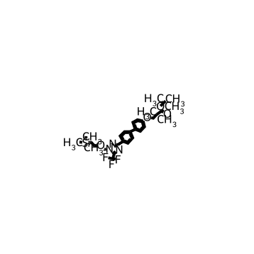 CC(C)(C)OC(=O)C(C)(C)COc1ccc(-c2ccc(-c3nc(C(F)(F)F)n(COCC[Si](C)(C)C)n3)cc2)cc1